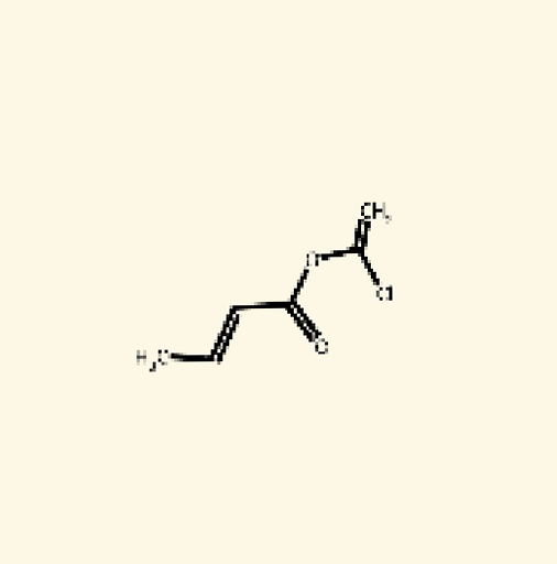 C=C(Cl)OC(=O)C=CC